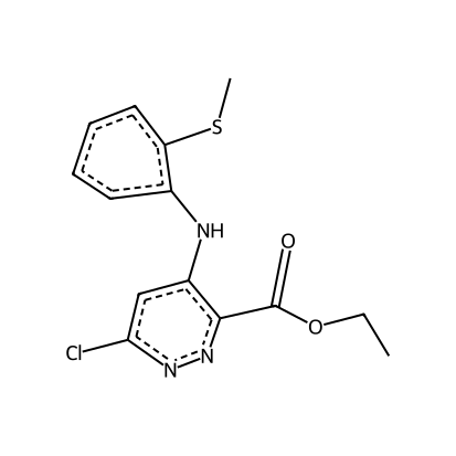 CCOC(=O)c1nnc(Cl)cc1Nc1ccccc1SC